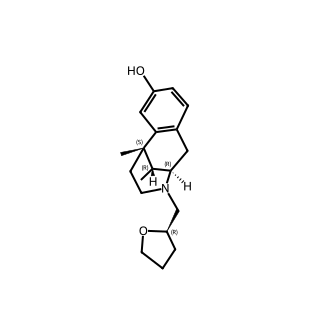 C[C@H]1[C@H]2Cc3ccc(O)cc3[C@@]1(C)CCN2C[C@H]1CCCO1